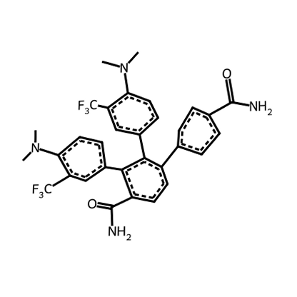 CN(C)c1ccc(-c2c(C(N)=O)ccc(-c3ccc(C(N)=O)cc3)c2-c2ccc(N(C)C)c(C(F)(F)F)c2)cc1C(F)(F)F